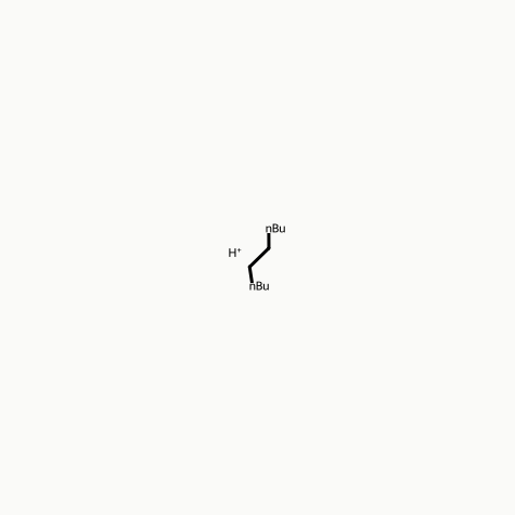 CCCCCCCCCC.[H+]